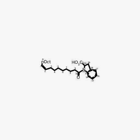 CCCCCCCC/C=C\CCCCCCCC(=O)N1c2ccccc2CC1C(=O)O